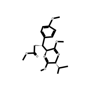 COC(=O)C[C@H](c1ccc(OC)cc1)[C@@H]1N=C(OC)[C@@H](C(C)C)N=C1OC